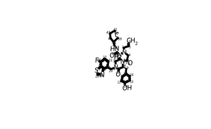 C=CCN1CC(=O)N2[C@@H](Cc3ccc(O)cc3)C(=O)N(Cc3ccc(F)c4scnc34)C[C@@H]2N1C(=O)NCC1CCCCC1